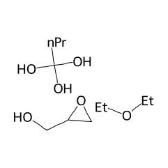 CCCC(O)(O)O.CCOCC.OCC1CO1